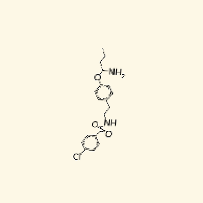 CCCC(N)Oc1ccc(CCNS(=O)(=O)c2ccc(Cl)cc2)cc1